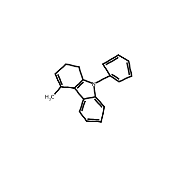 CC1=CCCc2c1c1ccccc1n2-c1ccccc1